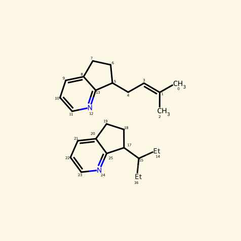 CC(C)=CCC1CCc2cccnc21.CCC(CC)C1CCc2cccnc21